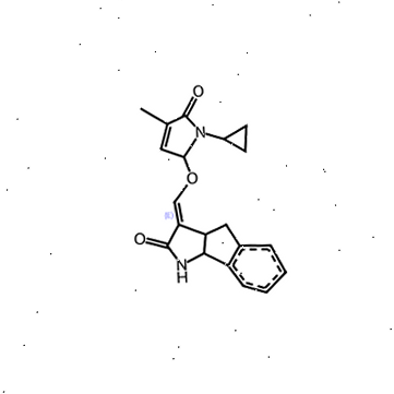 CC1=CC(O/C=C2/C(=O)NC3c4ccccc4CC23)N(C2CC2)C1=O